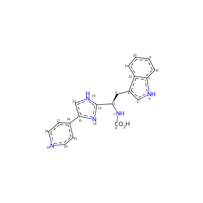 O=C(O)N[C@H](Cc1c[nH]c2ccccc12)c1nc(-c2ccncc2)c[nH]1